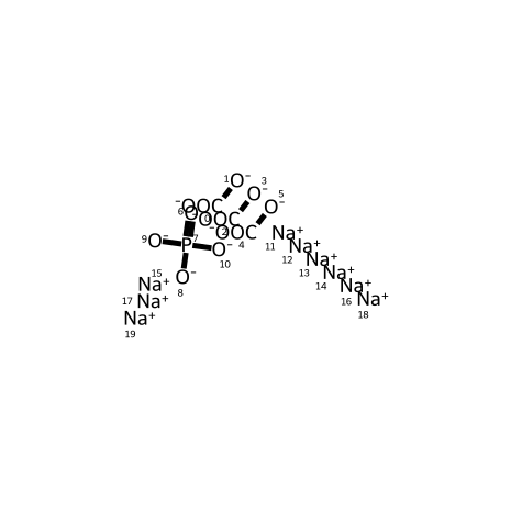 O=C([O-])[O-].O=C([O-])[O-].O=C([O-])[O-].O=P([O-])([O-])[O-].[Na+].[Na+].[Na+].[Na+].[Na+].[Na+].[Na+].[Na+].[Na+]